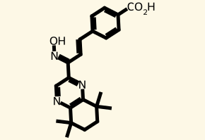 CC1(C)CCC(C)(C)c2nc(C(C=Cc3ccc(C(=O)O)cc3)=NO)cnc21